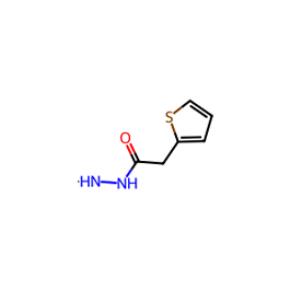 [NH]NC(=O)Cc1cccs1